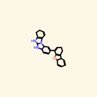 C1=CC2OC3=C(CCC=C3C3=CC4C(C=C3)NC3NC5=C(C=CCC5)N34)C2C=C1